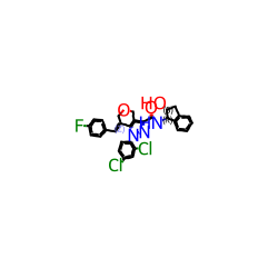 O=C(N[C@@H]1c2ccccc2C[C@@H]1O)c1nn(-c2ccc(Cl)cc2Cl)c2c1COC/C2=C\c1ccc(F)cc1